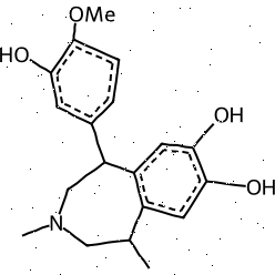 COc1ccc(C2CN(C)CC(C)c3cc(O)c(O)cc32)cc1O